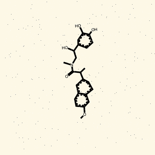 COc1ccc2cc(C(C)C(=O)N(C)CC(O)c3ccc(O)c(O)c3)ccc2c1